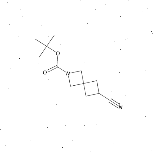 CC(C)(C)OC(=O)N1CC2(CC(C#N)C2)C1